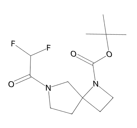 CC(C)(C)OC(=O)N1CCC12CCN(C(=O)C(F)F)C2